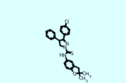 CC1(C)Cc2cc(NC(=S)N3CC(c4ccccc4)C(c4ccc(Cl)cc4)=N3)ccc2O1